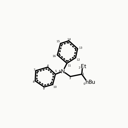 CCCCC(CC)CN(c1ccccc1)c1ccccc1